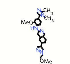 COCCn1cc(-c2ccc3cnc(Nc4ccc(-c5cnc(C)n5C)cc4OC)cc3c2)cn1